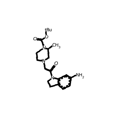 CC1CN(CC(=O)N2CCc3ccc(N)cc32)CCN1C(=O)OC(C)(C)C